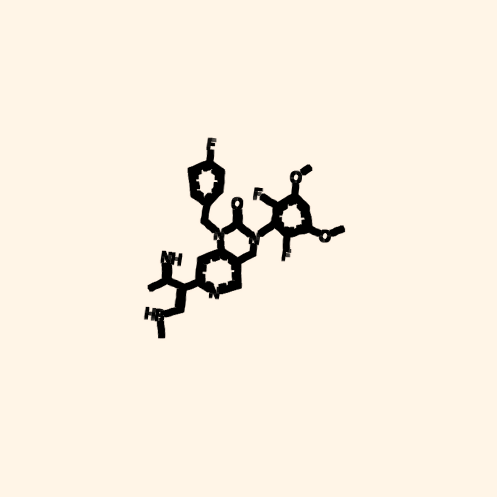 CB/C=C(\C(C)=N)c1cc2c(cn1)CN(c1c(F)c(OC)cc(OC)c1F)C(=O)N2Cc1ccc(F)cc1